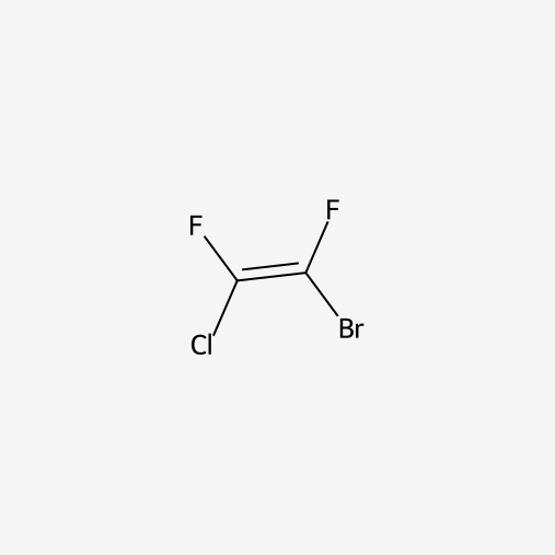 F/C(Cl)=C(\F)Br